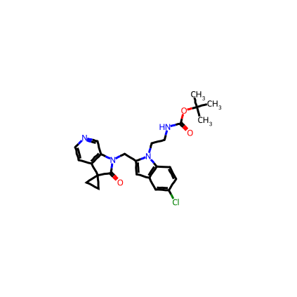 CC(C)(C)OC(=O)NCCn1c(CN2C(=O)C3(CC3)c3ccncc32)cc2cc(Cl)ccc21